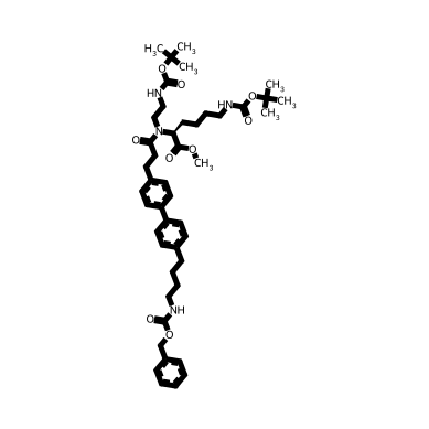 COC(=O)[C@H](CCCCNC(=O)OC(C)(C)C)N(CCNC(=O)OC(C)(C)C)C(=O)CCc1ccc(-c2ccc(CCCCNC(=O)OCc3ccccc3)cc2)cc1